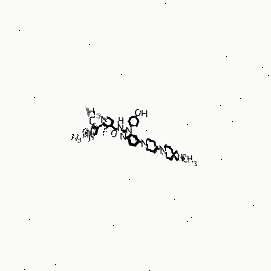 Cc1c(-c2nccc(C(=O)Nc3nc4ccc(N5CCC(N6CCC7(CC6)CN(C)C7)CC5)cc4n3[C@H]3CC[C@@H](O)CC3)c2F)cnn1C